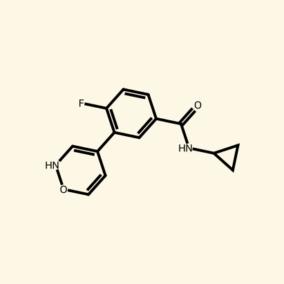 O=C(NC1CC1)c1ccc(F)c(C2=CNOC=C2)c1